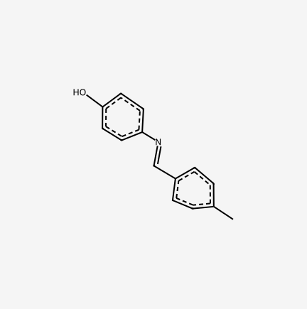 Cc1ccc(C=Nc2ccc(O)cc2)cc1